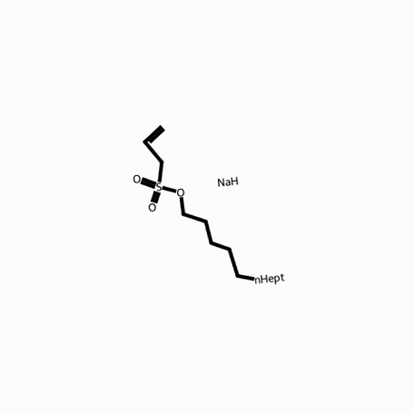 C=CCS(=O)(=O)OCCCCCCCCCCCC.[NaH]